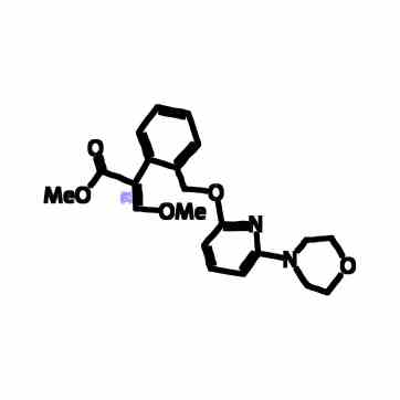 CO/C=C(/C(=O)OC)c1ccccc1COc1cccc(N2CCOCC2)n1